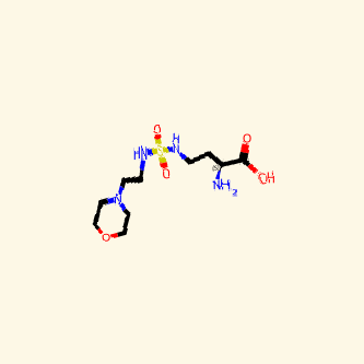 N[C@@H](CCNS(=O)(=O)NCCN1CCOCC1)C(=O)O